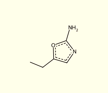 CCc1cnc(N)o1